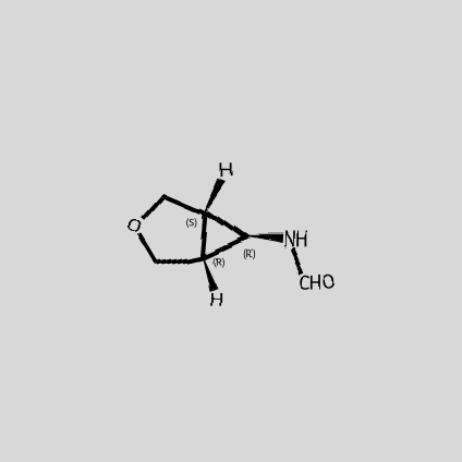 O=CN[C@H]1[C@@H]2COC[C@@H]21